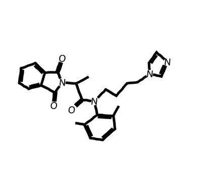 Cc1cccc(C)c1N(CCCCn1ccnc1)C(=O)C(C)N1C(=O)c2ccccc2C1=O